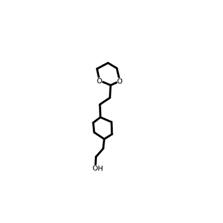 OCCC1CCC(CCC2OCCCO2)CC1